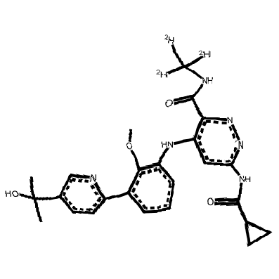 [2H]C([2H])([2H])NC(=O)c1nnc(NC(=O)C2CC2)cc1Nc1cccc(-c2ccc(C(C)(C)O)cn2)c1OC